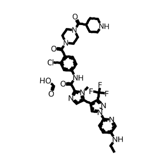 CCNc1ccc(-n2cc(-c3cnc(C(=O)Nc4ccc(C(=O)N5CCN(C(=O)C6CCNCC6)CC5)c(Cl)c4)n3C)c(C(F)(F)F)n2)nc1.O=CO